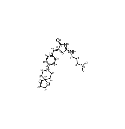 CN(C)CCCNC1=NC(=O)C(=Cc2ccc(N3CCC4(CC3)OCCO4)cc2)S1